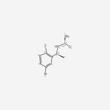 C[C@H](N[S@+]([O-])C(C)(C)C)c1cc(Br)ccc1F